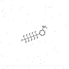 Nc1cccc(C(F)(F)C(F)(F)C(F)(F)C(F)(F)C(F)(F)F)c1